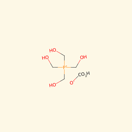 O=C([O-])O.OC[P+](CO)(CO)CO